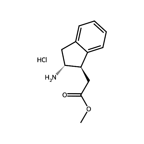 COC(=O)C[C@@H]1c2ccccc2C[C@H]1N.Cl